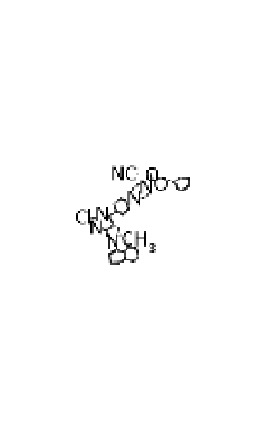 Cc1cccc2cccc(N3CCc4c(nc(Cl)nc4-c4ccc(N5CCN(C(=O)OCc6ccccc6)[C@@H](CC#N)C5)cc4)C3)c12